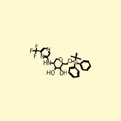 CC(C)(C)[Si](OCC1OCC(Nc2cncc(C(F)(F)F)n2)C(O)C1O)(c1ccccc1)c1ccccc1